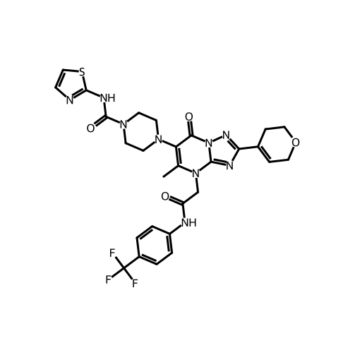 Cc1c(N2CCN(C(=O)Nc3nccs3)CC2)c(=O)n2nc(C3=CCOCC3)nc2n1CC(=O)Nc1ccc(C(F)(F)F)cc1